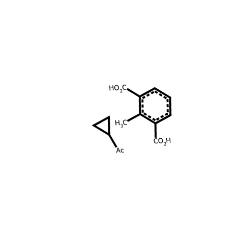 CC(=O)C1CC1.Cc1c(C(=O)O)cccc1C(=O)O